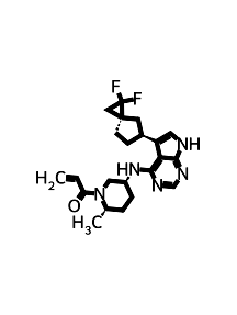 C=CC(=O)N1C[C@H](Nc2ncnc3[nH]cc([C@H]4CC[C@]5(C4)CC5(F)F)c23)CC[C@@H]1C